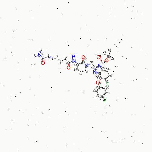 CN(C)C(=O)/C=C/CCCC(=O)Nc1cccn(Cc2nc3c(Oc4ccc(F)cc4F)cccc3n2C(=O)OC(C)(C)C)c1=O